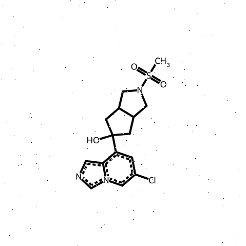 CS(=O)(=O)N1CC2CC(O)(c3cc(Cl)cn4cncc34)CC2C1